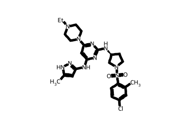 CCN1CCN(c2cc(Nc3cc(C)[nH]n3)nc(N[C@H]3CCN(S(=O)(=O)c4ccc(Cl)cc4C)C3)n2)CC1